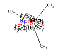 CCCCCCCCCCCCCCCCCCC(CCCCCCCCCCCCCCCCCC)(O[PH](=O)Oc1c(Oc2nc(Oc3cc(C(C)(C)C)cc(C(C)(C)C)c3O)nc(SCCCCCCCC)n2)cc(C(C)(C)C)cc1C(C)(C)C)c1cc(C(C)(C)C)c(O)c(C(C)(C)C)c1